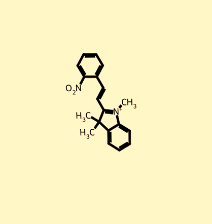 C[N+]1=C(C=Cc2ccccc2[N+](=O)[O-])C(C)(C)c2ccccc21